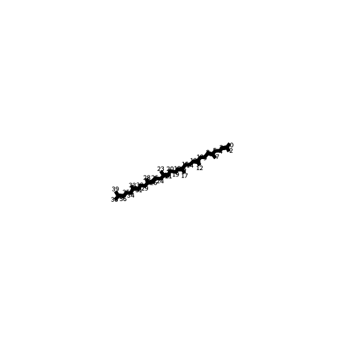 CC(C)=CCC/C(C)=C/CC/C(C)=C/CC/C(C)=C/CC/C=C(\C)CC/C=C(\C)CC/C=C(\C)CCC=C(C)C